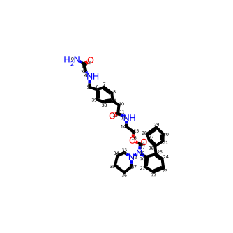 NC(=O)CNCc1ccc(CC(=O)NCCOC(=O)N(c2ccccc2-c2ccccc2)N2CC[CH]CC2)cc1